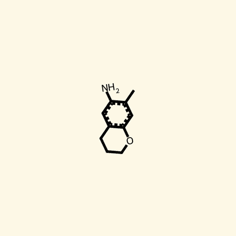 Cc1cc2c(cc1N)CCCO2